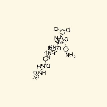 CC(C)(C)OC(=O)NCCNC(=O)c1ccc(C2(NC(=O)C3(NC(=O)c4cnc5n4[C@](C)(Cc4ccc(N)cc4)C(=O)N5c4cc(Cl)cc(Cl)c4)CC3)CC2)nc1